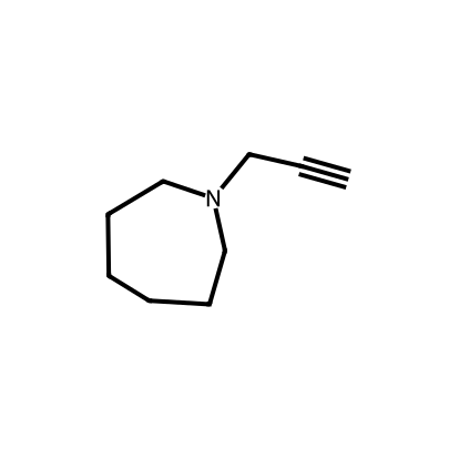 C#CCN1CCCCCC1